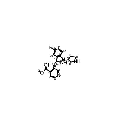 COC(=O)c1ccncc1NC1NN([C@@H]2CCNC2)c2ccc(F)cc21